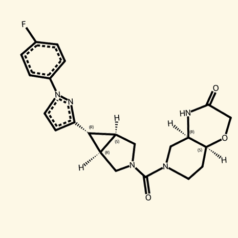 O=C1CO[C@H]2CCN(C(=O)N3C[C@@H]4[C@H](C3)[C@H]4c3ccn(-c4ccc(F)cc4)n3)C[C@H]2N1